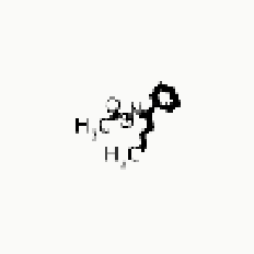 C=CCC/C(=N\OC(C)=O)c1ccccc1